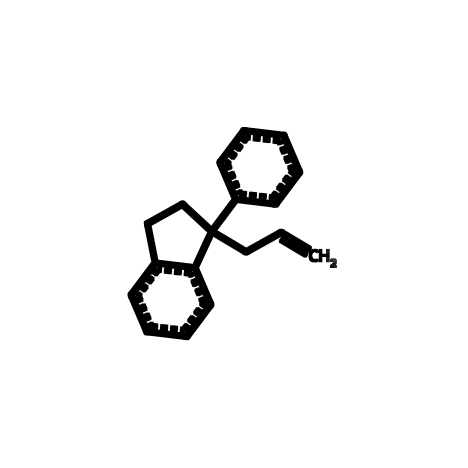 C=CCC1(c2ccccc2)CCc2ccccc21